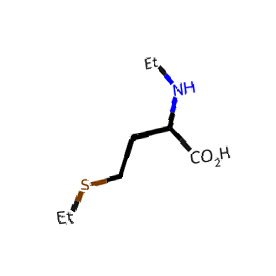 CCNC(CCSCC)C(=O)O